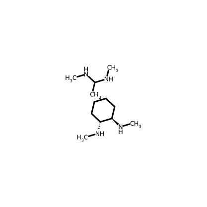 CNC(C)NC.CN[C@@H]1CCCC[C@H]1NC